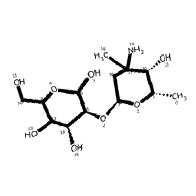 C[C@@H]1O[C@@H](O[C@@H]2C(O)OC(CO)C(O)[C@@H]2O)CC(C)(N)[C@@H]1O